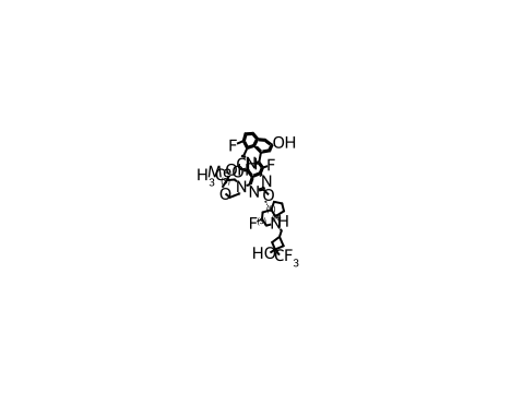 C#Cc1c(F)ccc2cc(O)cc(-c3nc(OC)c4c(N5CCOC[C@@](C)(O)C5)nc(OC[C@]56CCC[C@H]5N(CC5CC(O)(C(F)(F)F)C5)C[C@@H](F)C6)nc4c3F)c12